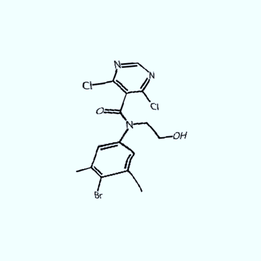 Cc1cc(N(CCO)C(=O)c2c(Cl)ncnc2Cl)cc(C)c1Br